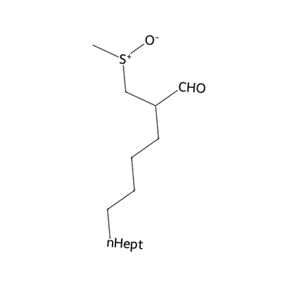 CCCCCCCCCCCC(C=O)C[S+](C)[O-]